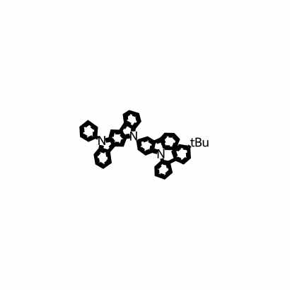 CC(C)(C)c1ccc(-c2ccccc2-n2c3ccccc3c3cc(-n4c5ccccc5c5cc6c(cc54)c4ccccc4n6-c4ccccc4)ccc32)cc1